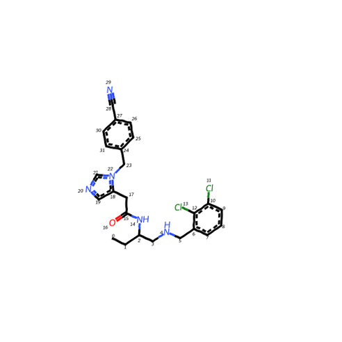 CCC(CNCc1cccc(Cl)c1Cl)NC(=O)Cc1cncn1Cc1ccc(C#N)cc1